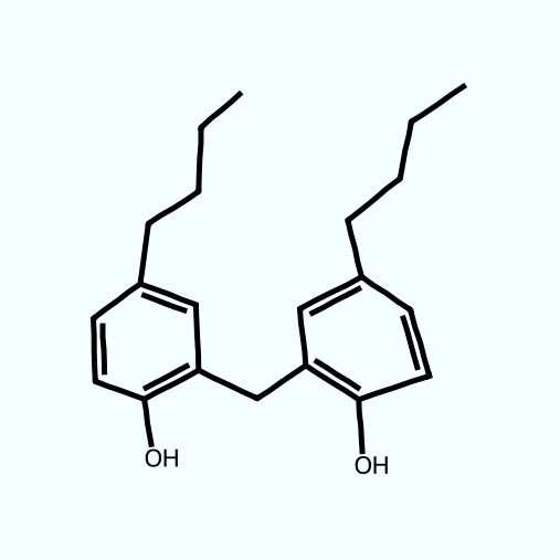 CCCCc1ccc(O)c(Cc2cc(CCCC)ccc2O)c1